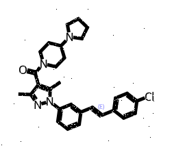 Cc1nn(-c2cccc(/C=C/c3ccc(Cl)cc3)c2)c(C)c1C(=O)N1CCC(N2CCCC2)CC1